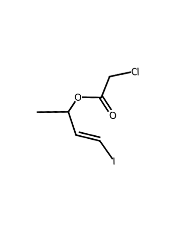 CC(C=CI)OC(=O)CCl